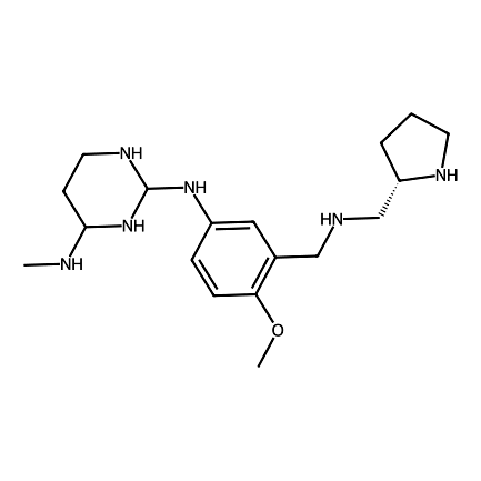 CNC1CCNC(Nc2ccc(OC)c(CNC[C@@H]3CCCN3)c2)N1